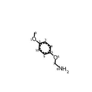 COc1ccc(OCN)cc1